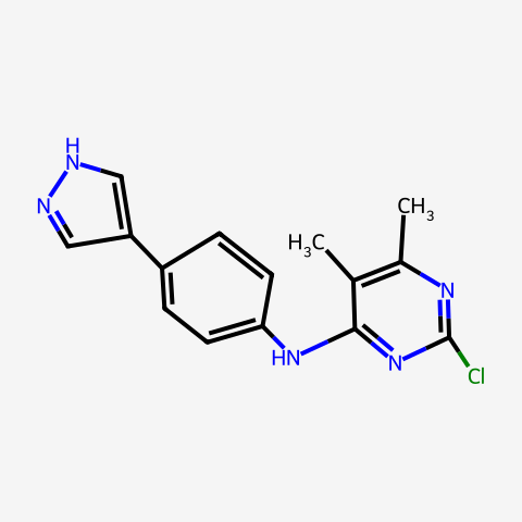 Cc1nc(Cl)nc(Nc2ccc(-c3cn[nH]c3)cc2)c1C